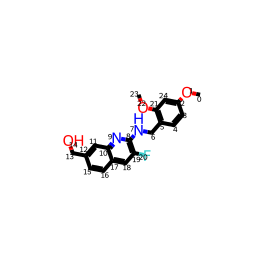 COc1ccc(CNc2nc3cc(CO)ccc3cc2F)c(OC)c1